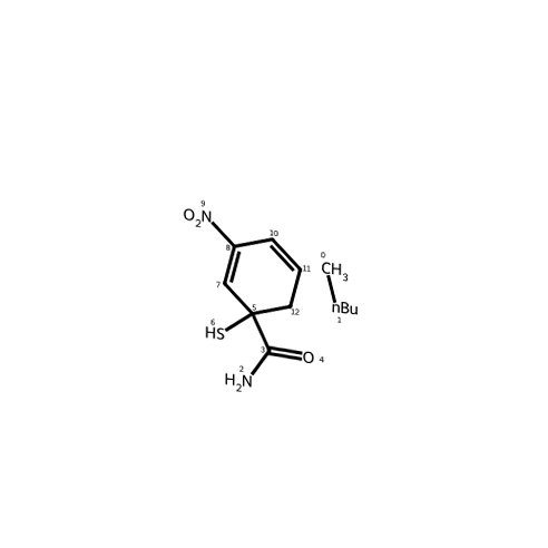 CCCCC.NC(=O)C1(S)C=C([N+](=O)[O-])C=CC1